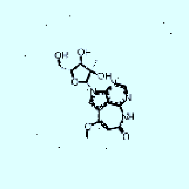 COC1=CC(=O)Nc2ncnc3c2c1cn3[C@@H]1O[C@H](CO)[C@@H](O)[C@@]1(C)O